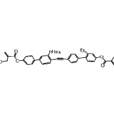 C=C(CO)C(=O)Oc1ccc(-c2ccc(C#Cc3ccc(-c4ccc(OC(=O)C(=C)CO)cc4CC)cc3)c(CCCCCC)c2)cc1